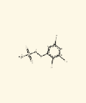 CS(=O)(=O)OCc1cc(I)cc(I)c1I